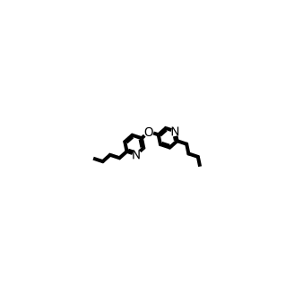 CCCCc1ccc(Oc2ccc(CCCC)nc2)cn1